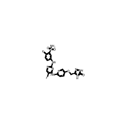 NS(=O)(=O)c1cc(Nc2ncc(F)c(Nc3ccc(OCc4n[nH]c(=O)[nH]4)cn3)n2)ccc1F